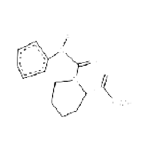 CCN(C(=O)N1CCCC[C@H]1C(=O)OC)c1ccccc1